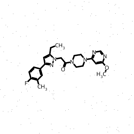 CCc1cc(-c2ccc(F)c(C)c2)nn1CC(=O)N1CCN(c2cc(OC)ncn2)CC1